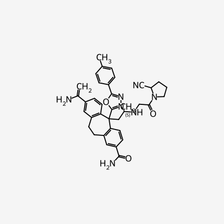 C=C(N)c1ccc2c(c1)CCc1cc(C(N)=O)ccc1C2(C[C@H](C)NCC(=O)N1CCCC1C#N)c1nnc(-c2ccc(C)cc2)o1